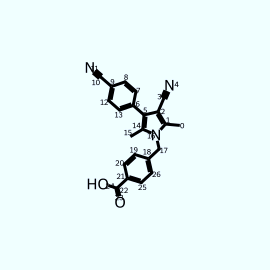 Cc1c(C#N)c(-c2ccc(C#N)cc2)c(C)n1Cc1ccc(C(=O)O)cc1